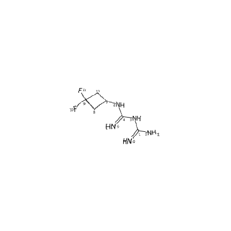 N=C(N)NC(=N)NC1CC(F)(F)C1